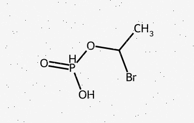 CC(Br)O[PH](=O)O